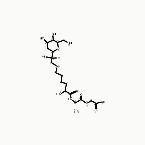 C[C@H](NC(=O)C(N)CCCCNCC(F)(F)C1CC(O)C(O)C(CO)O1)C(=O)NCC(=O)O